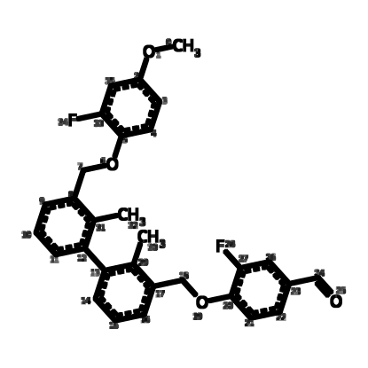 COc1ccc(OCc2cccc(-c3cccc(COc4ccc(C=O)cc4F)c3C)c2C)c(F)c1